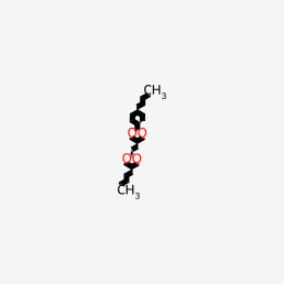 CCCCC[C@H]1CC[C@H]([C@H]2OC[C@H](CC[C@H]3OC[C@H](CCCCC)CO3)CO2)CC1